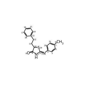 Cc1ccc(/N=C2/NC(=O)C(CCc3ccccc3)S2)cc1